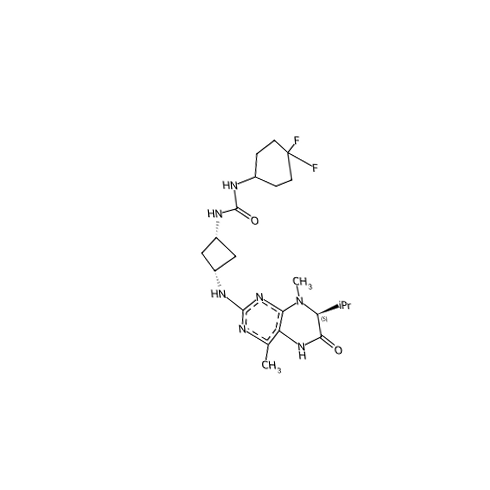 Cc1nc(N[C@H]2C[C@@H](NC(=O)NC3CCC(F)(F)CC3)C2)nc2c1NC(=O)[C@H](C(C)C)N2C